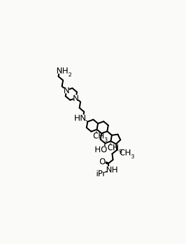 CC(C)NC(=O)CC[C@@H](C)C1CCC2C3CCC4C[C@@H](NCCCN5CCN(CCCN)CC5)CC[C@]4(C)C3C[C@H](O)[C@@]21C